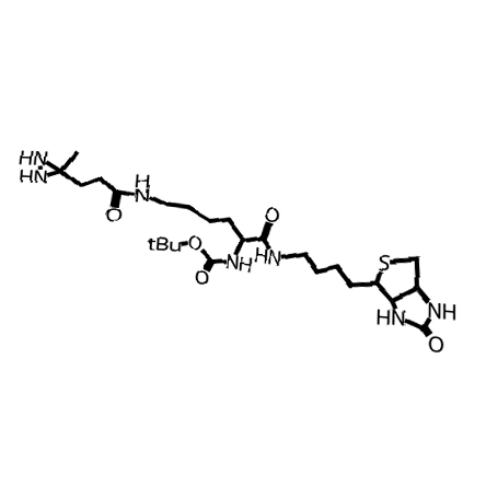 CC1(CCC(=O)NCCCCC(NC(=O)OC(C)(C)C)C(=O)NCCCCC2SCC3NC(=O)NC32)NN1